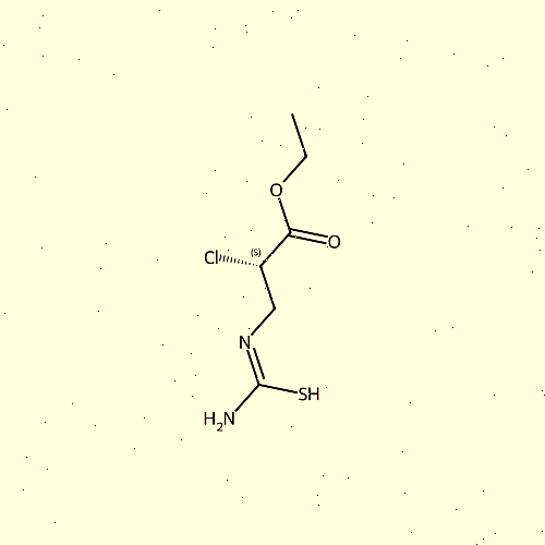 CCOC(=O)[C@@H](Cl)CN=C(N)S